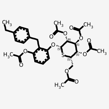 CCc1ccc(Cc2c(OC(C)=O)cccc2O[C@H]2S[C@@H](COC(C)=O)[C@@H](OC(C)=O)[C@H](OC(C)=O)[C@H]2OC(C)=O)cc1